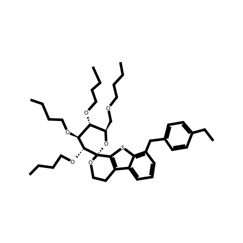 CCCCOC[C@H]1O[C@]2(OCCc3c2sc2c(Cc4ccc(CC)cc4)cccc32)[C@H](OCCCC)[C@@H](OCCCC)[C@@H]1OCCCC